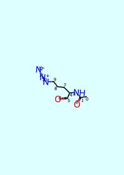 CC(=O)NC(C=O)CCCN=[N+]=[N-]